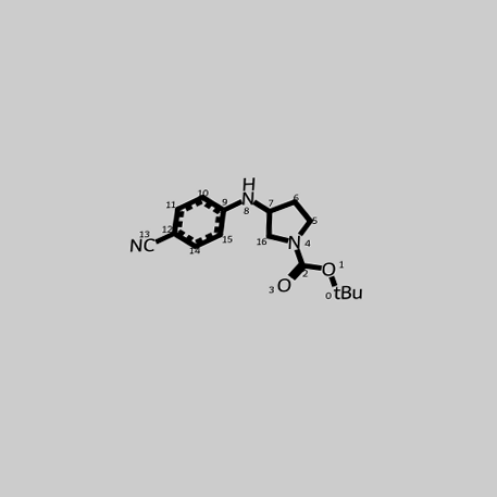 CC(C)(C)OC(=O)N1CCC(Nc2ccc(C#N)cc2)C1